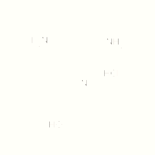 Cl.Nc1ccc(N)c(CN2CCC(O)CC2)c1